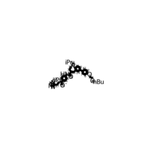 CCCCOCCOc1ccc(-c2ccc3c(c2)C=C(C(=O)Nc2ccc([S+]([O-])CCc4nncn4CCC)cc2)CCN3CC(C)C)cc1